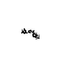 Cc1cc(C[C@@H]2CCN(C(C)c3ccc4sc(C)nc4n3)C2)cc(C)n1